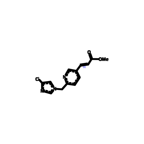 COC(=O)/C=C/c1ccc(Cn2cnc(Cl)c2)nc1